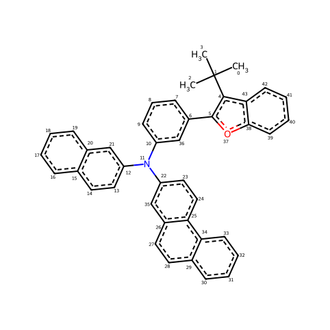 CC(C)(C)c1c(-c2cccc(N(c3ccc4ccccc4c3)c3ccc4c(ccc5ccccc54)c3)c2)oc2ccccc12